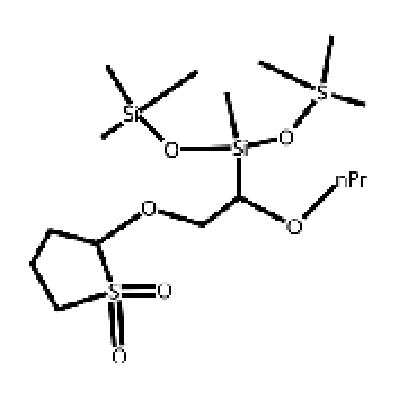 CCCOC(COC1CCCS1(=O)=O)[Si](C)(O[Si](C)(C)C)O[Si](C)(C)C